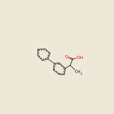 CC(C(=O)O)c1cccc(-c2ccccc2)c1